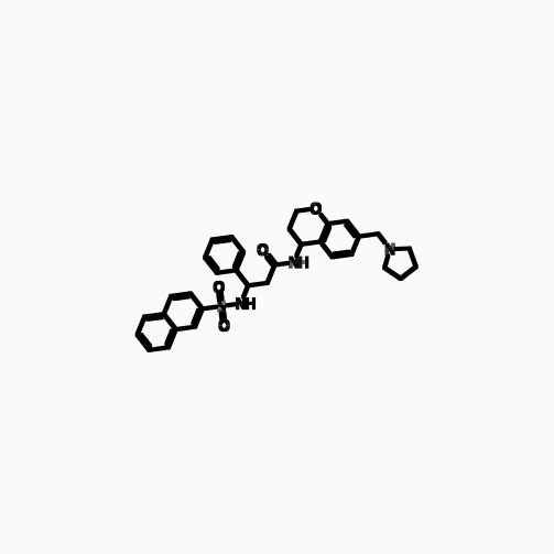 O=C(CC(NS(=O)(=O)c1ccc2ccccc2c1)c1ccccc1)NC1CCOc2cc(CN3CCCC3)ccc21